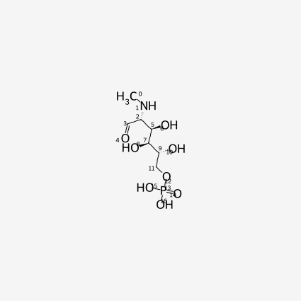 CN[C@@H](C=O)[C@@H](O)[C@H](O)[C@H](O)COP(=O)(O)O